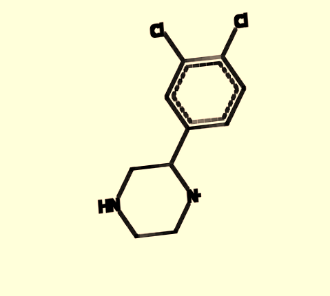 Clc1ccc(C2CNCC[N]2)cc1Cl